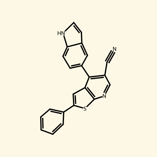 N#Cc1cnc2sc(-c3ccccc3)cc2c1-c1ccc2[nH]ccc2c1